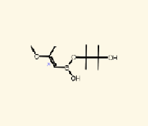 CO/C(C)=C/B(O)OC(C)(C)C(C)(C)O